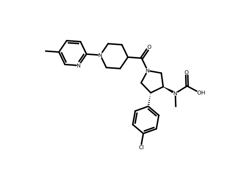 Cc1ccc(N2CCC(C(=O)N3C[C@@H](N(C)C(=O)O)[C@H](c4ccc(Cl)cc4)C3)CC2)nc1